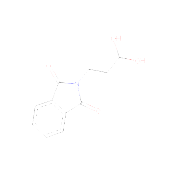 O=C1c2ccccc2C(=O)N1CCC(O)O